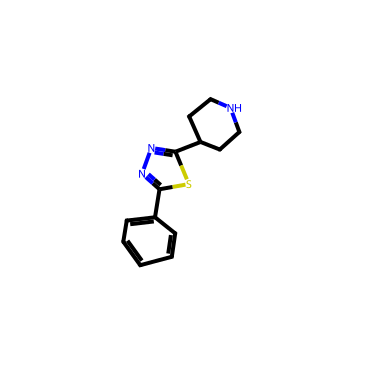 c1ccc(-c2nnc(C3CCNCC3)s2)cc1